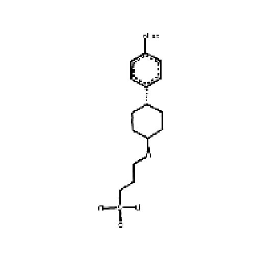 CCCCCCc1ccc([C@H]2CC[C@H](OCCC[Si](Cl)(Cl)Cl)CC2)cc1